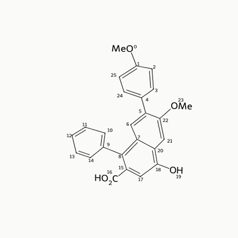 COc1ccc(-c2cc3c(-c4ccccc4)c(C(=O)O)cc(O)c3cc2OC)cc1